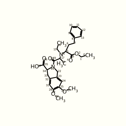 CCOC(=O)C(CCc1ccccc1)N(CC)C(C)C(=O)N1Cc2cc(OC)c(OC)cc2CC1C(=O)O